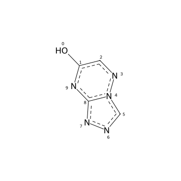 Oc1cnn2cnnc2n1